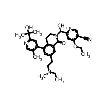 CCOc1cc([C@H](C)N2CCc3c(cc(CCN(C)CC)cc3-c3cc(C(C)(C)O)ncc3C)C2=O)ncc1C#N